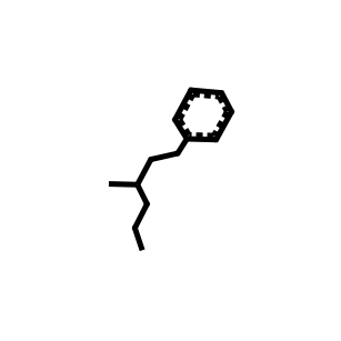 CCCC(C)CCc1ccccc1